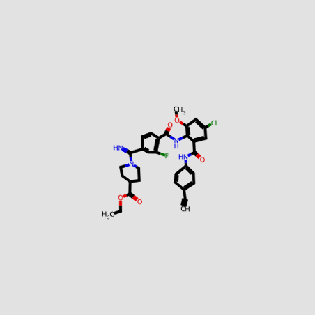 C#Cc1ccc(NC(=O)c2cc(Cl)cc(OC)c2NC(=O)c2ccc(C(=N)N3CCC(C(=O)OCC)CC3)cc2F)cc1